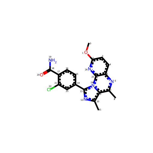 COc1ccc2nc(C)c3c(C)nc(-c4ccc(C(N)=O)c(Cl)c4)n3c2n1